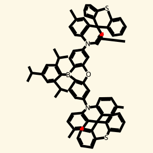 Cc1ccc2c(c1)C1(c3ccccc3Sc3ccccc31)c1cc(C)ccc1N2c1ccc2c(c1)Oc1cc(N3c4ccc(C)cc4C4(c5ccccc5Sc5ccccc54)c4cc(C)ccc43)ccc1B2c1c(C(C)C)cc(C(C)C)cc1C(C)C